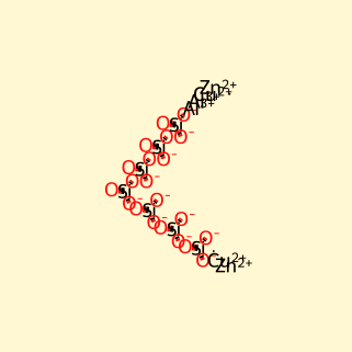 O=[Si]([O-])[O-].O=[Si]([O-])[O-].O=[Si]([O-])[O-].O=[Si]([O-])[O-].O=[Si]([O-])[O-].O=[Si]([O-])[O-].O=[Si]([O-])[O-].[Al+3].[Al+3].[Cu+2].[Cu+2].[Zn+2].[Zn+2]